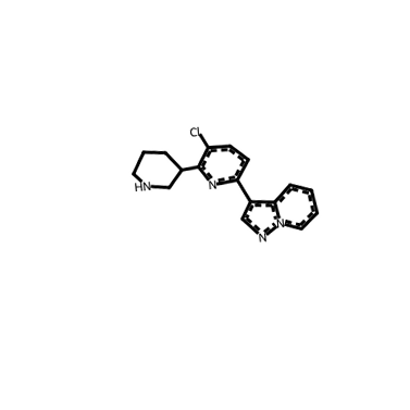 Clc1ccc(-c2cnn3ccccc23)nc1C1CCCNC1